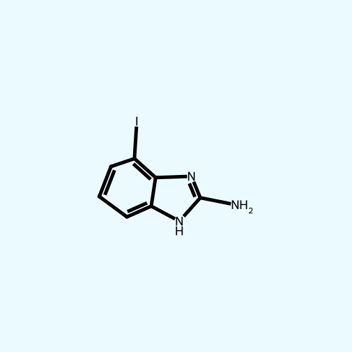 Nc1nc2c(I)cccc2[nH]1